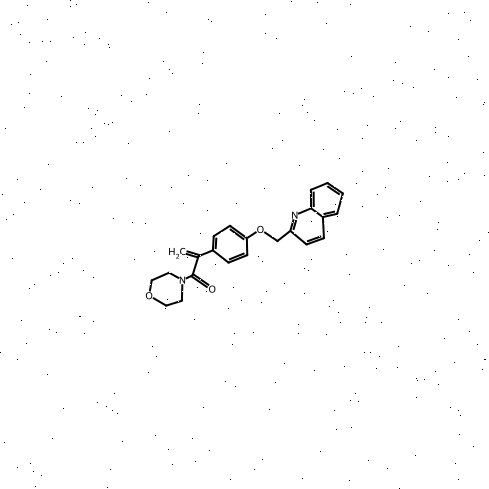 C=C(C(=O)N1CCOCC1)c1ccc(OCc2ccc3ccccc3n2)cc1